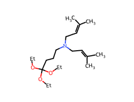 CCOC(CCCN(CC=C(C)C)CC=C(C)C)(OCC)OCC